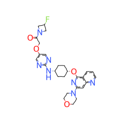 O=C(COc1cnc(N[C@H]2CC[C@@H](Oc3nc(N4CCOCC4)cc4ncccc34)CC2)nc1)N1CC(F)C1